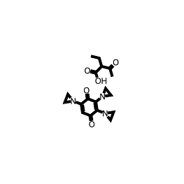 CCC(C(C)=O)C(=O)O.O=C1C=C(N2CC2)C(=O)C(N2CC2)=C1N1CC1